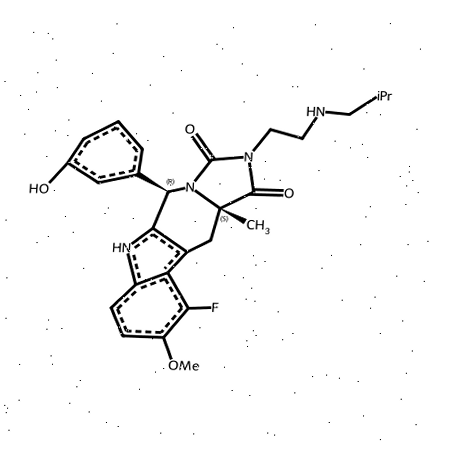 COc1ccc2[nH]c3c(c2c1F)C[C@@]1(C)C(=O)N(CCNCC(C)C)C(=O)N1[C@@H]3c1cccc(O)c1